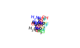 CC1(C)C(=O)N(c2ccc(SC(F)(F)F)cc2)C(=O)N1Cc1ccnc(C(N)=O)c1.CC1(C)C(=O)N(c2ccc(SC(F)(F)F)cc2)C(=O)N1Cc1ccnc(N)c1.Cl.O=C(O)C(F)(F)F